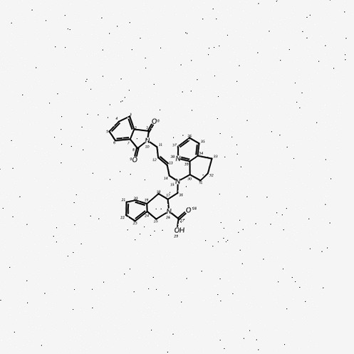 O=C1c2ccccc2C(=O)N1C/C=C/CN(CC1Cc2ccccc2CN1C(=O)O)C1CCCc2cccnc21